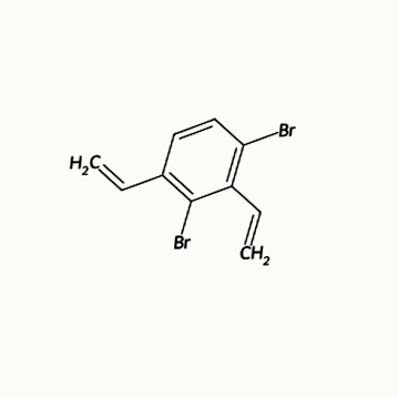 C=Cc1ccc(Br)c(C=C)c1Br